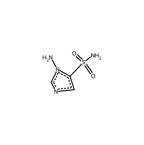 Nn1cncc1S(N)(=O)=O